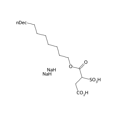 CCCCCCCCCCCCCCCCCOC(=O)C(CC(=O)O)S(=O)(=O)O.[NaH].[NaH]